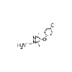 Cc1nn(CCN)c(C)c1Oc1ccc(Cl)cc1